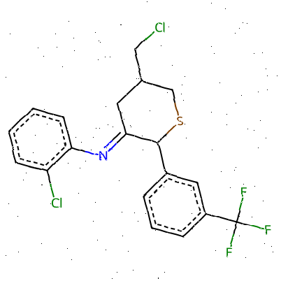 FC(F)(F)c1cccc(C2SCC(CCl)CC2=Nc2ccccc2Cl)c1